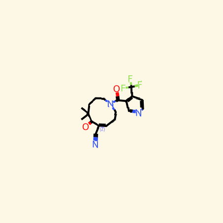 CC1(C)CCCN(C(=O)c2cnccc2C(F)(F)F)CC/C=C(/C#N)C1=O